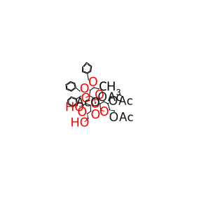 CC(=O)OC[C@H]1O[C@@H](O[C@H]2[C@H](O[C@@H]3O[C@@H](C)[C@@H](OCc4ccccc4)[C@@H](OCc4ccccc4)[C@@H]3OCc3ccccc3)C[C@H](O)O[C@@H]2CO)[C@H](OC(C)=O)[C@@H](OC(C)=O)[C@H]1OC(C)=O